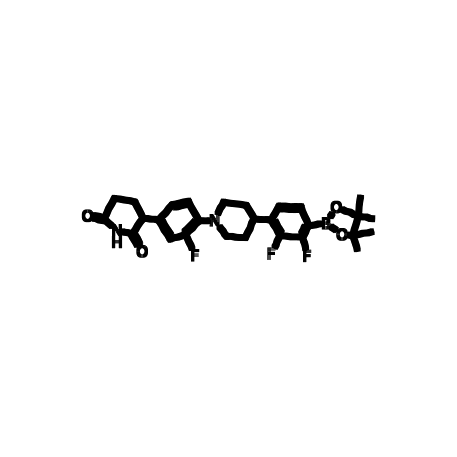 CC1(C)OB(c2ccc(C3CCN(c4ccc(C5CCC(=O)NC5=O)cc4F)CC3)c(F)c2F)OC1(C)C